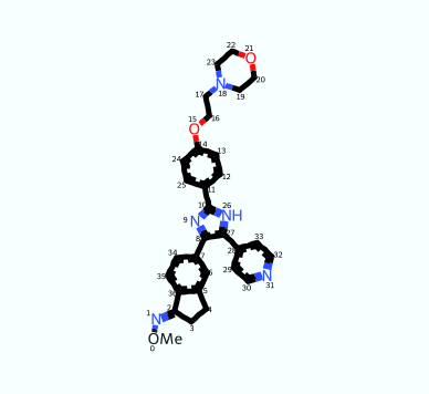 CON=C1CCc2cc(-c3nc(-c4ccc(OCCN5CCOCC5)cc4)[nH]c3-c3ccncc3)ccc21